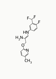 Cc1ccc(OC/C(N)=C/Nc2ccc(F)c(C(F)F)c2)nc1